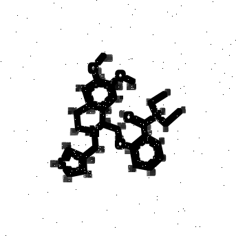 CCN(CC)C(=O)c1ccccc1OCC1c2cc(OC)c(OC)cc2CCN1Cc1ccsc1